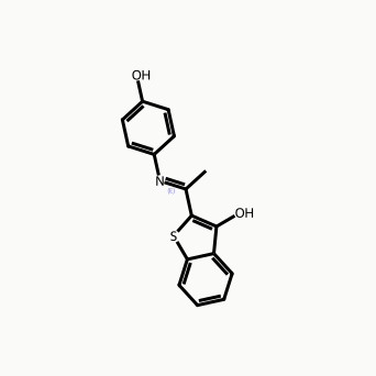 C/C(=N\c1ccc(O)cc1)c1sc2ccccc2c1O